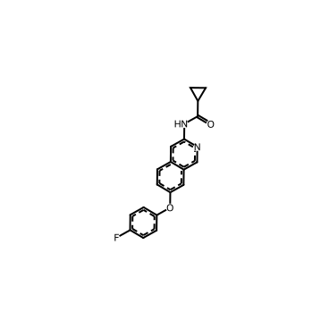 O=C(Nc1cc2ccc(Oc3ccc(F)cc3)cc2cn1)C1CC1